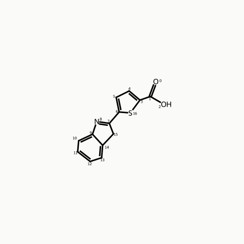 O=C(O)c1ccc(C2=Nc3ccccc3C2)s1